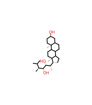 CC(C)[C@H](C)[C@@H](O)[C@H](O)[C@@H](C)[C@H]1CCC2C3CCC4C[C@H](O)CC[C@]4(C)C3CC[C@@]21C